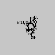 CCOC(=O)C1(NC(=O)CC)CC(C)(C)N(CCO)C(C)(C)C1